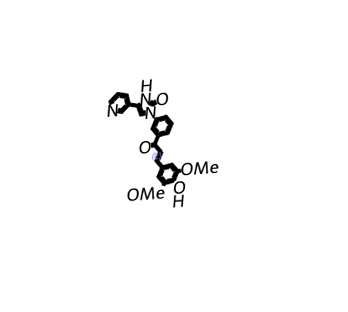 COc1cc(/C=C/C(=O)c2cccc(-n3cc(-c4cccnc4)[nH]c3=O)c2)cc(OC)c1O